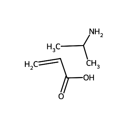 C=CC(=O)O.CC(C)N